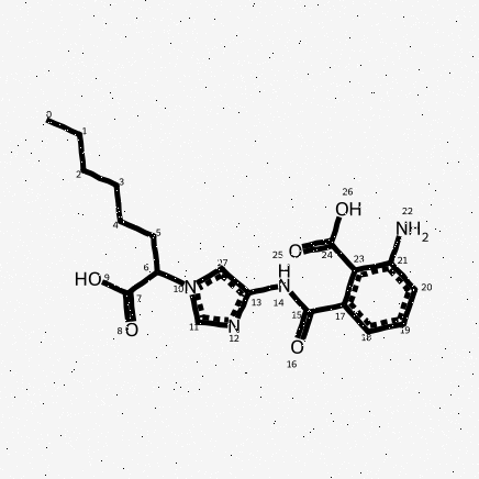 CCCCCCC(C(=O)O)n1cnc(NC(=O)c2cccc(N)c2C(=O)O)c1